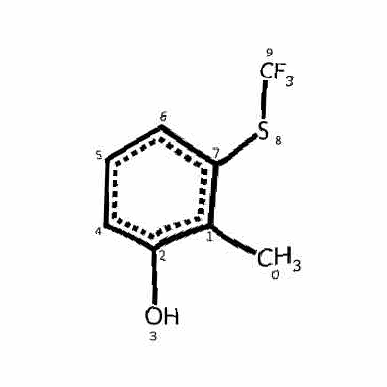 Cc1c(O)cccc1SC(F)(F)F